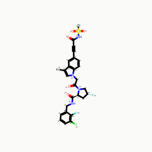 CCS(=O)(=O)NC(=O)C#Cc1ccc2c(c1)c(C(C)=O)cn2CC(=O)N1C[C@H](F)C[C@H]1C(=O)NCc1cccc(Cl)c1F